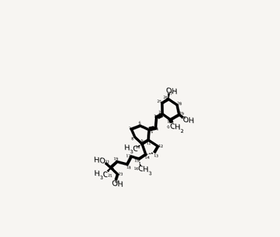 C=C1/C(=C\C=C2CCC[C@@]3(C)C2CC[C@@H]3[C@H](C)CCC[C@@](C)(O)CO)C[C@@H](O)CC1O